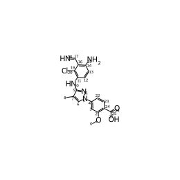 COc1cc(-n2cc(C)c(Nc3ccc(N)c(C=N)c3Cl)n2)ccc1C(=O)O